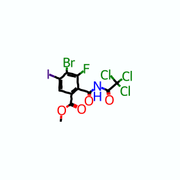 COC(=O)c1cc(I)c(Br)c(F)c1C(=O)NC(=O)C(Cl)(Cl)Cl